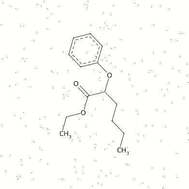 CCCCC(Oc1ccccc1)C(=O)OCC